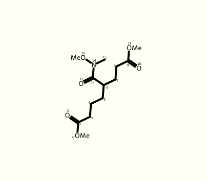 COC(=O)CCCC(CCC(=O)OC)C(=O)N(C)OC